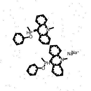 Cn1c2ccccc2c(=[PH-](C)Oc2ccccc2)c2ccccc21.Cn1c2ccccc2c(=[PH-](C)Oc2ccccc2)c2ccccc21.[Na+].[Na+]